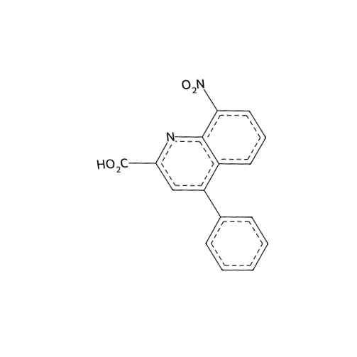 O=C(O)c1cc(-c2ccccc2)c2cccc([N+](=O)[O-])c2n1